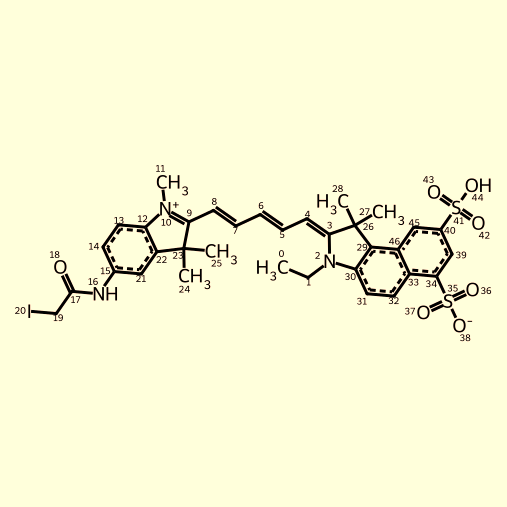 CCN1C(=CC=CC=CC2=[N+](C)c3ccc(NC(=O)CI)cc3C2(C)C)C(C)(C)c2c1ccc1c(S(=O)(=O)[O-])cc(S(=O)(=O)O)cc21